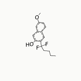 CCCCC(F)(F)c1cc2ccc(OC)cc2cc1O